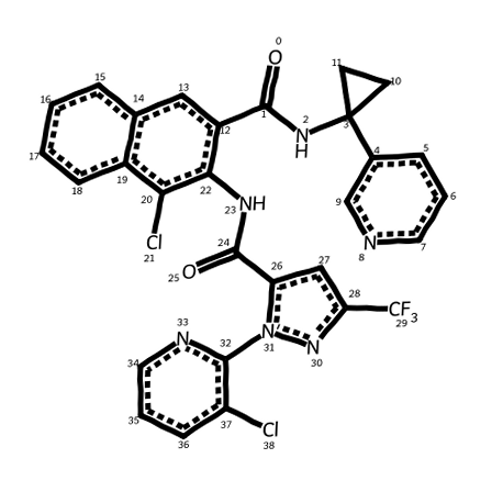 O=C(NC1(c2cccnc2)CC1)c1cc2ccccc2c(Cl)c1NC(=O)c1cc(C(F)(F)F)nn1-c1ncccc1Cl